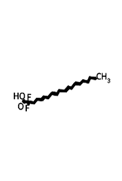 CCCCCC=CCC=CCC=CCC=CCCC(F)(F)C(=O)O